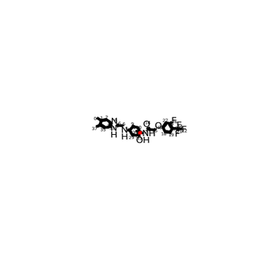 Cc1cc2nc(CNC34CCC(NC(=O)COc5ccc(C(F)(F)F)c(F)c5)(CC3)C(O)C4)[nH]c2cc1C